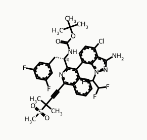 CC(C)(C)OC(=O)N[C@@H](Cc1cc(F)cc(F)c1)c1nc(C#CC(C)(C)S(C)(=O)=O)c2ccccc2c1-c1ccc(Cl)c2c(N)nn(C(F)C(F)F)c12